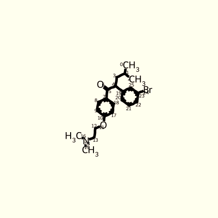 CC(C)CC(C(=O)c1ccc(OCCN(C)C)cc1)c1cccc(Br)c1